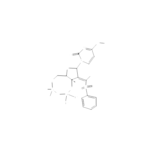 CCOc1ccn(C2O[C@@H]3CO[Si](C(C)C)(C(C)C)O[Si](C(C)C)(C(C)C)O[C@H]3/C2=C(/F)S(=O)(=O)c2ccccc2)c(=O)n1